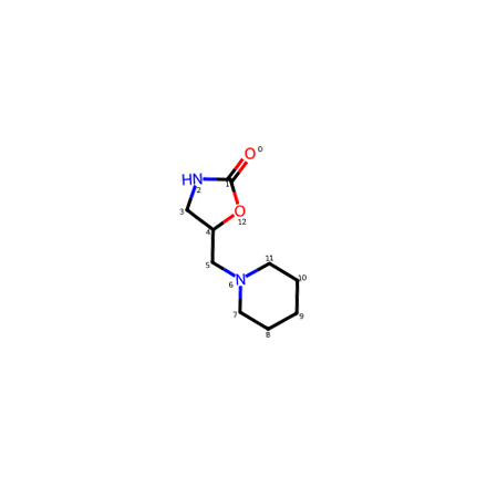 O=C1NCC(CN2CCCCC2)O1